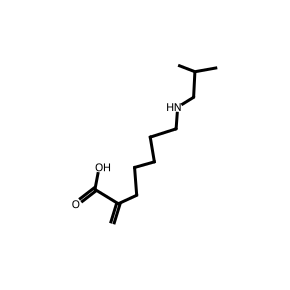 C=C(CCCCCNCC(C)C)C(=O)O